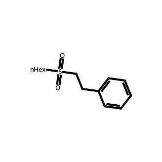 CCCCCCS(=O)(=O)CCc1ccccc1